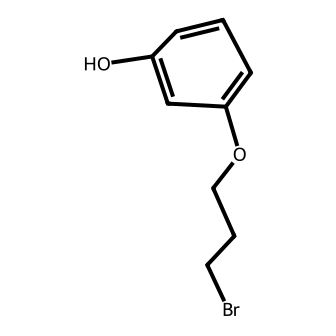 Oc1cccc(OCCCBr)c1